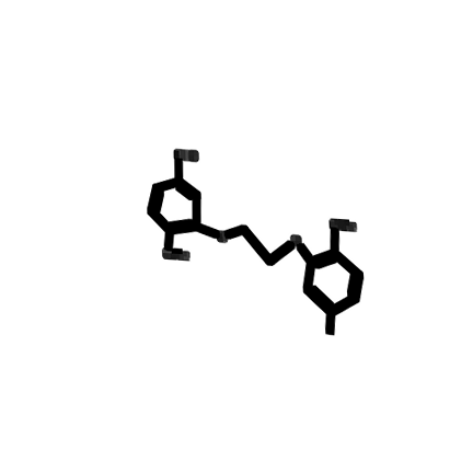 COc1ccc(C)cc1OCCOc1cc(C=O)ccc1OC